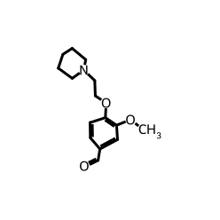 COc1cc(C=O)ccc1OCCN1CCCCC1